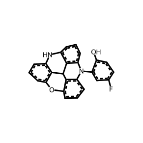 Oc1ccc(F)cc1N1c2cccc3c2C2c4c(cccc4Oc4cccc1c42)N3